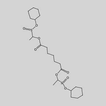 CC(OC(=O)CCCCCC(=O)OC(C)S(=O)OC1CCCCC1)[Si](=O)OC1CCCCC1